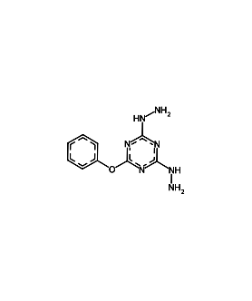 NNc1nc(NN)nc(Oc2ccccc2)n1